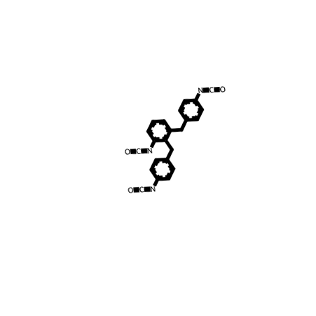 O=C=Nc1ccc(Cc2cccc(N=C=O)c2Cc2ccc(N=C=O)cc2)cc1